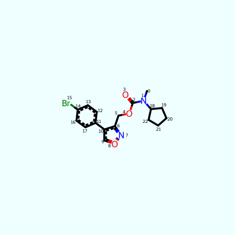 CN(C(=O)OCc1nocc1-c1ccc(Br)cc1)C1CCCC1